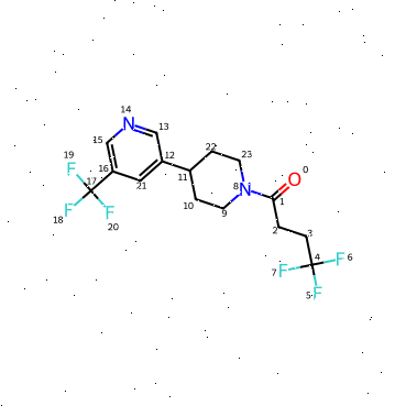 O=C(CCC(F)(F)F)N1CCC(c2cncc(C(F)(F)F)c2)CC1